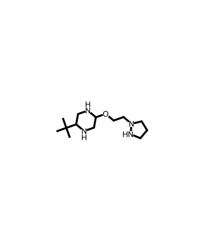 CC(C)(C)C1CNC(OCCN2CCCN2)CN1